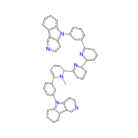 CN1C(c2cccc(-n3c4ccccc4c4cnccc43)c2)=CC=CC1c1cccc(-c2cccc(-c3cccc(-n4c5ccccc5c5cnccc54)c3)n2)n1